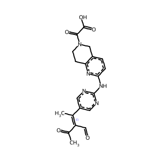 CC(=O)/C(C=O)=C(\C)c1cnc(Nc2ccc3c(n2)CCN(C(=O)C(=O)O)C3)nc1